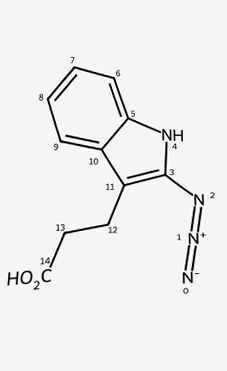 [N-]=[N+]=Nc1[nH]c2ccccc2c1CCC(=O)O